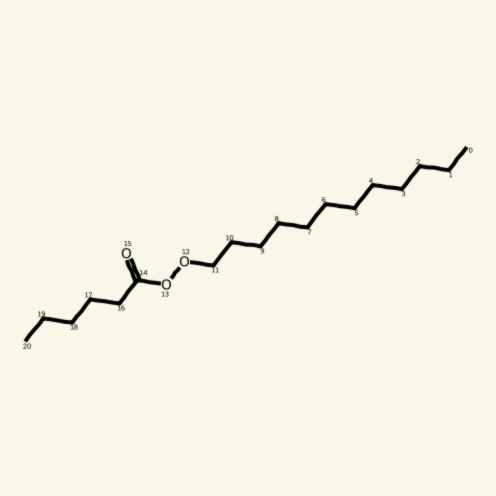 CCCCCCCCCCCCOOC(=O)CCCCC